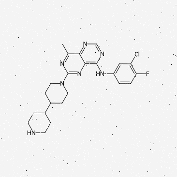 Cc1nc(N2CCC(C3CCNCC3)CC2)nc2c(Nc3ccc(F)c(Cl)c3)ncnc12